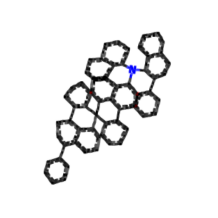 c1ccc(-c2ccc3ccccc3c2N(c2cccc3ccccc23)c2ccc3c4c(cccc24)C2(c4ccccc4-c4ccc(-c5ccccc5)c5cccc2c45)c2ccccc2-3)cc1